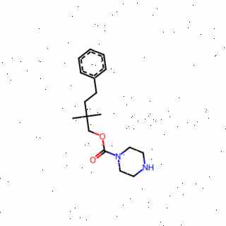 CC(C)(CCc1ccccc1)COC(=O)N1CCNCC1